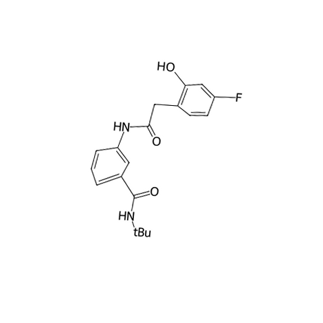 CC(C)(C)NC(=O)c1cccc(NC(=O)Cc2ccc(F)cc2O)c1